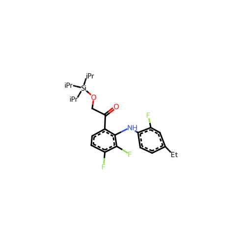 CCc1ccc(Nc2c(C(=O)CO[Si](C(C)C)(C(C)C)C(C)C)ccc(F)c2F)c(F)c1